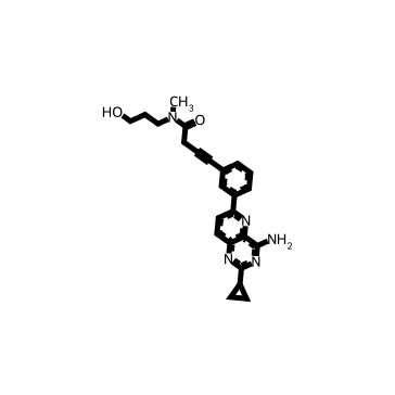 CN(CCCO)C(=O)CC#Cc1cccc(-c2ccc3nc(C4CC4)nc(N)c3n2)c1